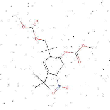 COC(=O)OCC(C)(C)C1=C(OC(=O)OC)CC([N+](=O)[O-])C(C(C)(C)C)=C1